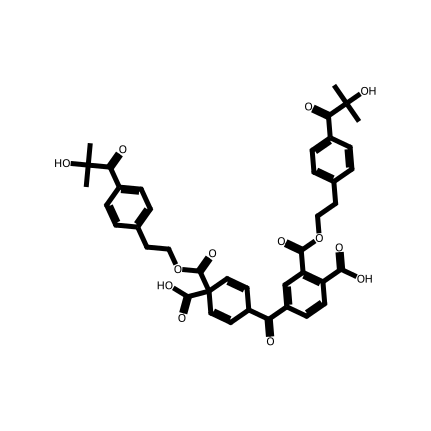 CC(C)(O)C(=O)c1ccc(CCOC(=O)c2cc(C(=O)C3C=CC(C(=O)O)(C(=O)OCCc4ccc(C(=O)C(C)(C)O)cc4)C=C3)ccc2C(=O)O)cc1